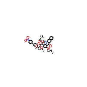 COc1cc2c(c3c1c(=O)c1cc4ccccc4cc1n3C)C(OC(C)=O)C(OC(=O)/C=C/c1ccc([N+](=O)[O-])cc1)C(C)(C)O2